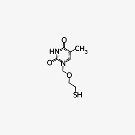 Cc1cn(COCCS)c(=O)[nH]c1=O